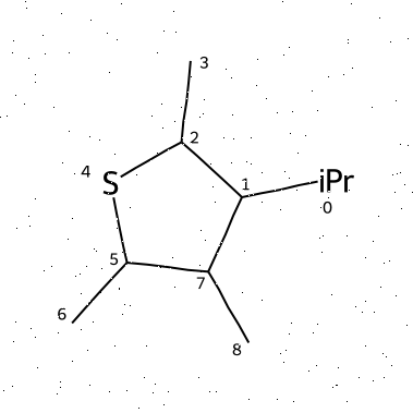 CC(C)C1C(C)SC(C)C1C